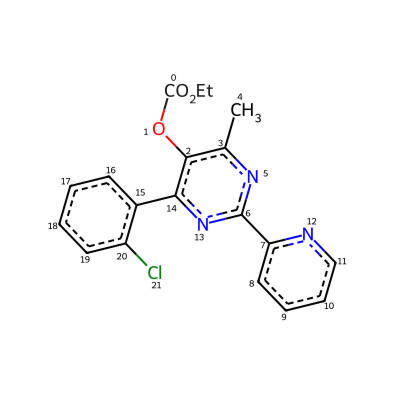 CCOC(=O)Oc1c(C)nc(-c2ccccn2)nc1-c1ccccc1Cl